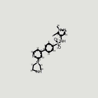 Cc1c(NS(=O)(=O)c2ccc(-c3ccnc(N4CCNCC4)c3)cc2)cnn1C